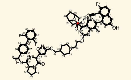 C#Cc1c(F)ccc2cc(O)cc(-c3ncc4c(N5CC6CCC(C5)N6C(=O)OC(C)(C)C)nc(OCCN5CCC(COc6cc(C(C(=O)N7CCCC7C(=O)NC(C)c7ccc(-c8c(F)cccc8F)cc7)C(C)C)on6)CC5)nc4c3F)c12